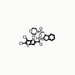 O=C(N[C@@H]1Cc2ccccc2[C@H]1CS(=O)(=O)N1CCOCC1)c1cc2sc(Cl)c(Cl)c2[nH]1